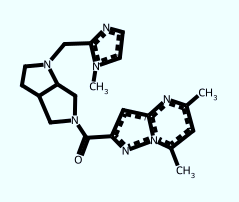 Cc1cc(C)n2nc(C(=O)N3CC4CCN(Cc5nccn5C)C4C3)cc2n1